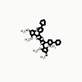 COc1cc(OC)c(-c2sc3c(sc4c(-c5ccc(-c6ccccc6)cc5)c(-c5c(OC)cc(OC)cc5OC)sc43)c2-c2ccc(-c3ccccc3)cc2)c(OC)c1